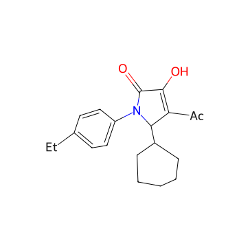 CCc1ccc(N2C(=O)C(O)=C(C(C)=O)C2C2CCCCC2)cc1